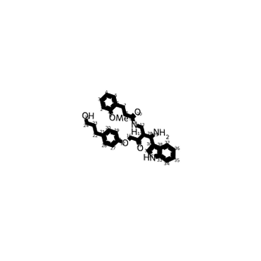 COc1ccccc1CCC(=O)NCC(C(=O)COc1ccc(CCCO)cc1)C(N)c1c[nH]c2ccccc12